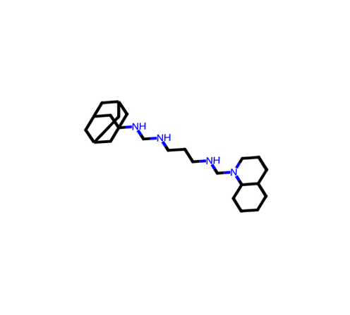 C(CNCNC12CC3CC(CC(C3)C1)C2)CNCN1CCCC2CCCCC21